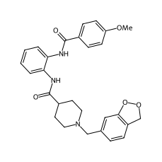 COc1ccc(C(=O)Nc2ccccc2NC(=O)C2CCN(Cc3ccc4c(c3)OOC4)CC2)cc1